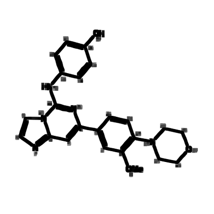 COc1cc(-c2cc3nccn3c(Nc3ccc(O)cc3)n2)ccc1N1CCOCC1